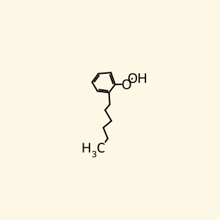 CCCCCCc1ccccc1OO